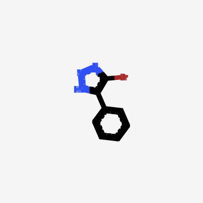 Brc1nn[nH]c1-c1ccccc1